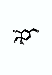 CC1C=C(C=O)C=CC1(C)C=S